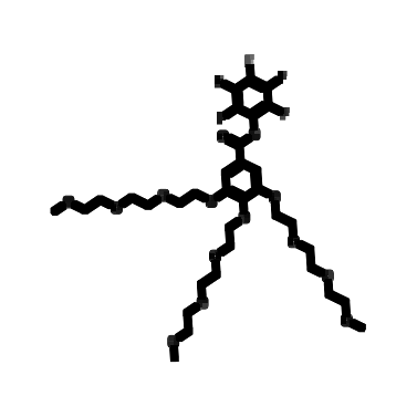 COCCOCCOCCOc1cc(C(=O)Oc2c(F)c(F)c(F)c(F)c2F)cc(OCCOCCOCCOC)c1OCCOCCOCCOC